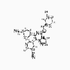 Cc1ncc(-c2c(-c3ccc(C#N)cc3)nc(OC[C@@H]3CCCN(C)C3)n3ccnc23)cc1C#N